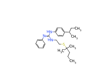 CCCC(C)(C)SCCN/C(=N\c1ccccc1)Nc1ccc(C(C)CC)cc1